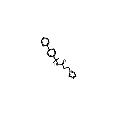 CC(C)(NC(=O)CCn1ccnc1)c1ccc(-c2ccccc2)cc1